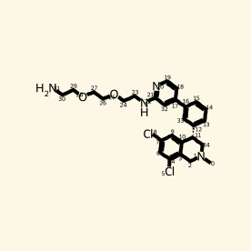 CN1Cc2c(Cl)cc(Cl)cc2[C@H](c2cccc(-c3ccnc(NCCOCCOCCN)c3)c2)C1